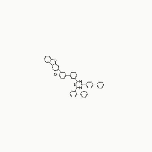 c1ccc(-c2ccc(-c3nc(-c4cccc(-c5ccc6oc7cc8c(cc7c6c5)oc5ccccc58)c4)nc(-c4ccccc4-c4ccccc4)n3)cc2)cc1